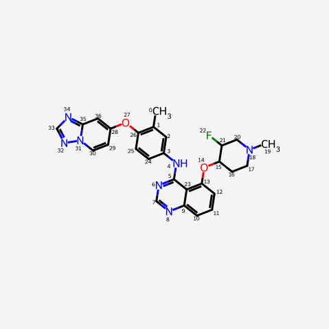 Cc1cc(Nc2ncnc3cccc(OC4CCN(C)CC4F)c23)ccc1Oc1ccn2ncnc2c1